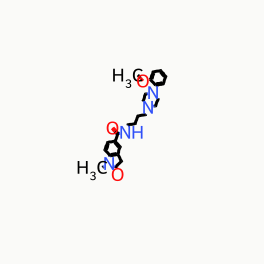 COc1ccccc1N1CCN(CCCCNC(=O)c2ccc3c(c2)CC(=O)N3C)CC1